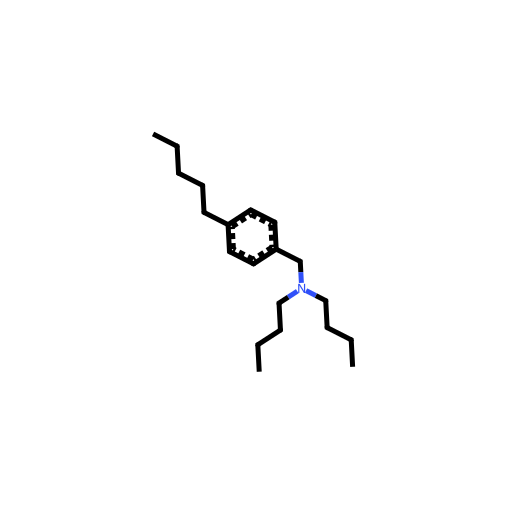 CCCCCc1ccc(CN(CCCC)CCCC)cc1